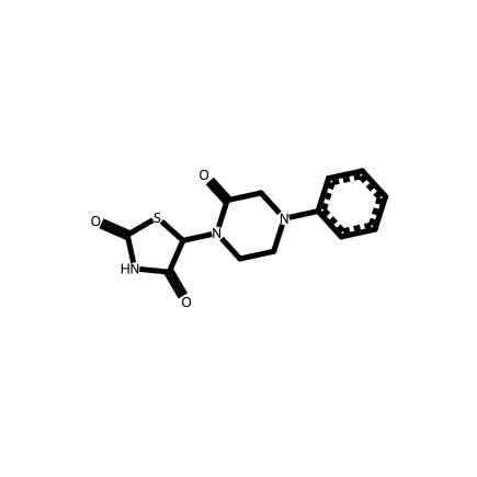 O=C1NC(=O)C(N2CCN(c3ccccc3)CC2=O)S1